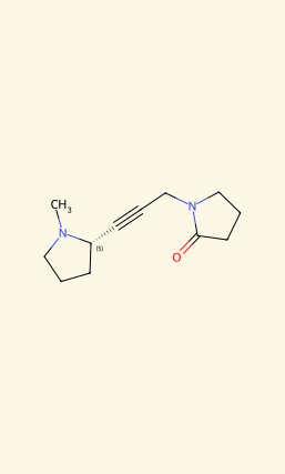 CN1CCC[C@H]1C#CCN1CCCC1=O